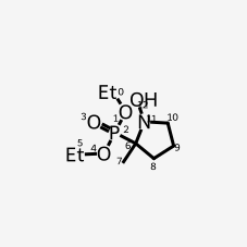 CCOP(=O)(OCC)C1(C)CCCN1O